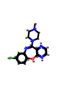 CN1CCN(C2=Nc3cc(F)ccc3Oc3nccnc32)CC1